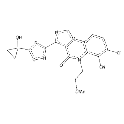 COCCn1c(=O)c2c(-c3noc(C4(O)CC4)n3)ncn2c2ccc(Cl)c(C#N)c21